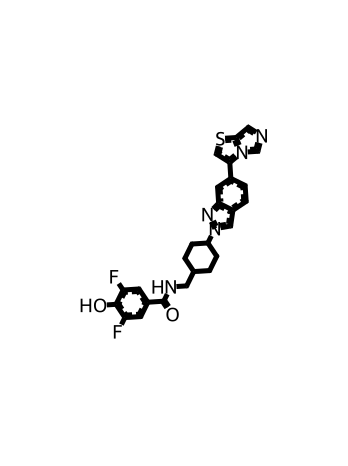 O=C(NCC1CCC(n2cc3ccc(-c4csc5cncn45)cc3n2)CC1)c1cc(F)c(O)c(F)c1